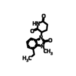 CCc1cccc2c1n(C)c(=O)n2C1CCC(=O)NC1=O